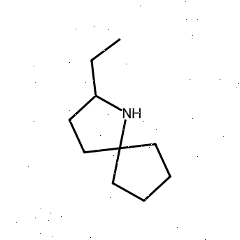 CCC1CCC2(CCCC2)N1